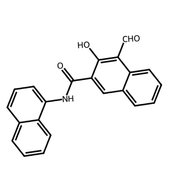 O=Cc1c(O)c(C(=O)Nc2cccc3ccccc23)cc2ccccc12